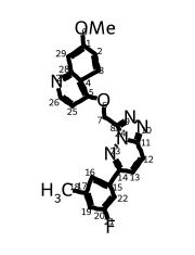 COc1ccc2c(OCc3nnc4ccc(-c5cc(C)cc(F)c5)nn34)ccnc2c1